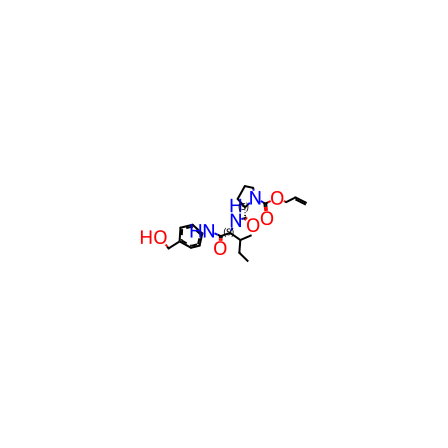 C=CCOC(=O)N1CCC[C@H]1C(=O)N[C@H](C(=O)Nc1ccc(CO)cc1)C(C)CC